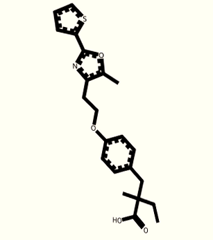 CCC(C)(Cc1ccc(OCCc2nc(-c3cccs3)oc2C)cc1)C(=O)O